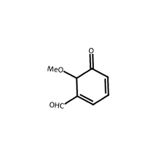 COC1C(=O)C=CC=C1C=O